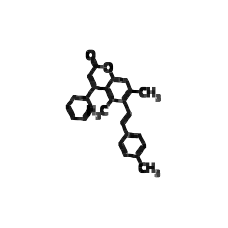 Cc1ccc(/C=C/c2c(C)cc3oc(=O)cc(-c4ccccc4)c3c2C)cc1